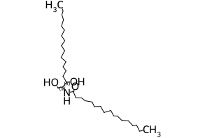 CCCCCCCCCCCCCCCCC(=O)N[C@@H](CO)[C@H](O)CCCCCCCCCCCCCCC